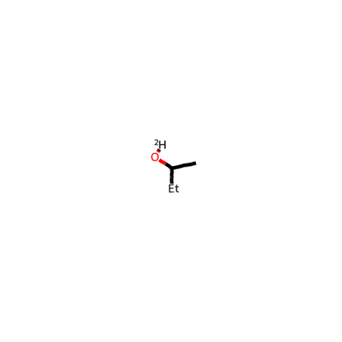 [2H]OC(C)CC